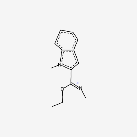 CCO/C(=N\C)c1cc2ccccc2n1C